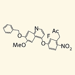 COc1cc2c(Oc3ccc([N+](=O)[O-])c(CC(C)=O)c3F)ccnc2cc1OCc1ccccc1